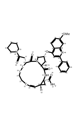 COc1ccc2c(O[C@@H]3C[C@H]4C(=O)N[C@@]5(C(N)=O)C[C@@H]5/C=C\CCCCC[C@H](CC(=O)N5CCCCC5)C(=O)N4C3)cc(-c3ccccc3)nc2c1